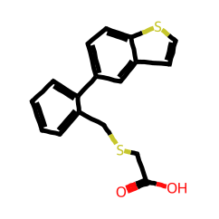 O=C(O)CSCc1ccccc1-c1ccc2sccc2c1